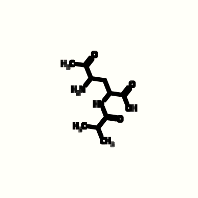 CC(=O)C(N)CC(NC(=O)C(C)C)C(=O)O